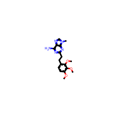 COc1ccc(CCc2nc(N)c3ncn(C)c3n2)c(OC)c1OC